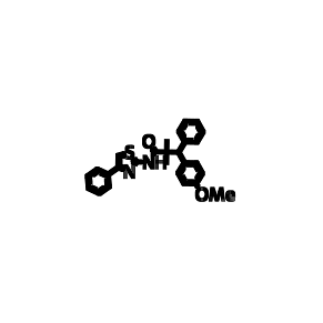 COc1ccc(C(c2ccccc2)C(C)(C)C(=O)Nc2nc(-c3ccccc3)cs2)cc1